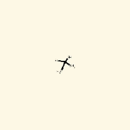 BC(C)(S)CC